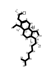 CC[C@@]1(C)C(C[C@H](C)Cl)=CC[C@@H]2C1CC[C@@]1(C)C2CC[C@@H]1[C@H](C)CCCCC(C)C